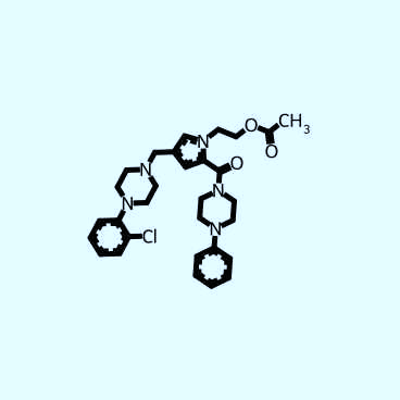 CC(=O)OCCn1cc(CN2CCN(c3ccccc3Cl)CC2)cc1C(=O)N1CCN(c2ccccc2)CC1